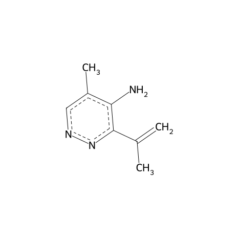 C=C(C)c1nncc(C)c1N